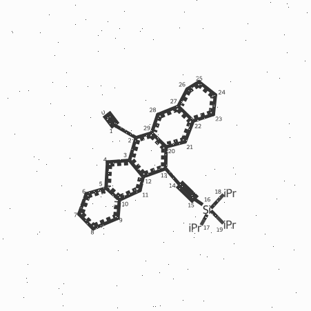 C#Cc1c2cc3ccccc3cc2c(C#C[Si](C(C)C)(C(C)C)C(C)C)c2cc3ccccc3cc12